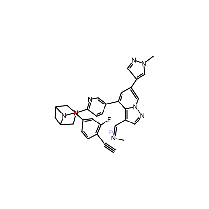 C#Cc1ccc(CN2C3CC2CN(c2ccc(-c4cc(-c5cnn(C)c5)cn5ncc(/C=N\C)c45)cn2)C3)cc1F